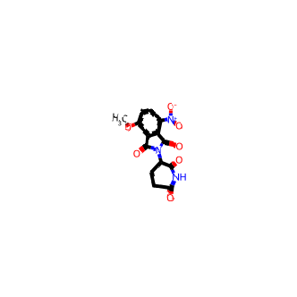 COc1ccc([N+](=O)[O-])c2c1C(=O)N(C1CCC(=O)NC1=O)C2=O